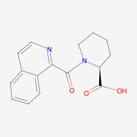 O=C(O)[C@@H]1CCCCN1C(=O)c1nccc2ccccc12